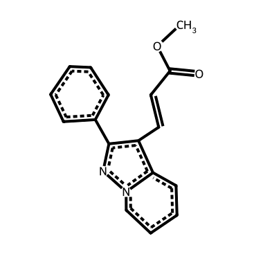 COC(=O)/C=C/c1c(-c2ccccc2)nn2ccccc12